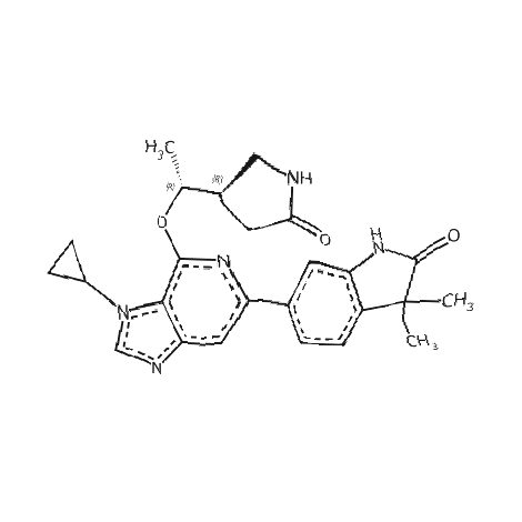 C[C@@H](Oc1nc(-c2ccc3c(c2)NC(=O)C3(C)C)cc2ncn(C3CC3)c12)[C@H]1CNC(=O)C1